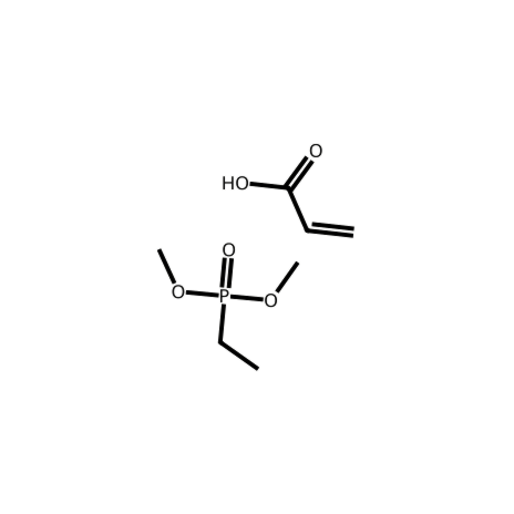 C=CC(=O)O.CCP(=O)(OC)OC